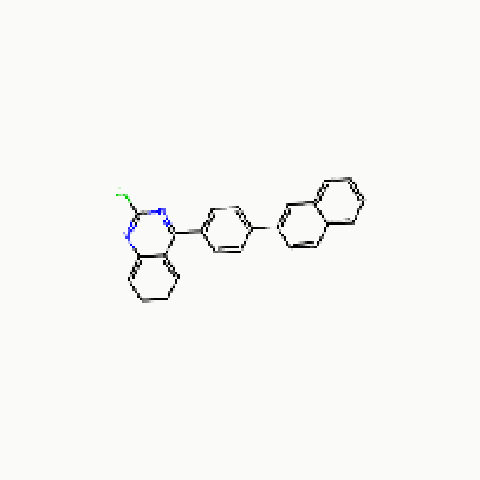 Clc1nc(-c2ccc(-c3ccc4ccccc4c3)cc2)c2c(n1)=CCCC=2